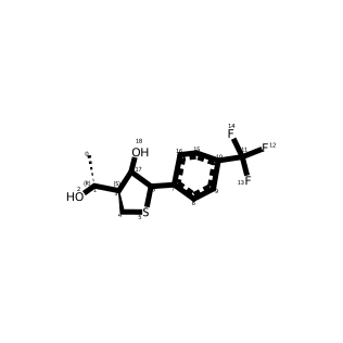 C[C@@H](O)[C@@H]1CSC(c2ccc(C(F)(F)F)cc2)C1O